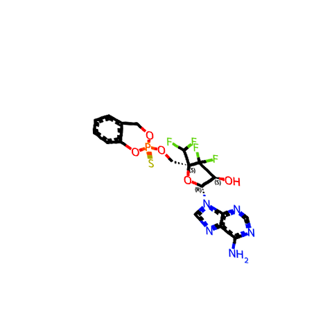 Nc1ncnc2c1ncn2[C@@H]1O[C@@](COP2(=S)OCc3ccccc3O2)(C(F)F)C(F)(F)[C@H]1O